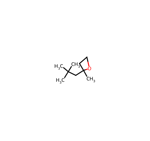 CC(C)(C)CC1(C)CCO1